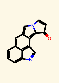 O=C1C=Cn2cc3cc4cccc5c4c(c3c21)C=N5